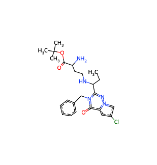 CCC(NCCC(N)C(=O)OC(C)(C)C)c1nn2cc(Cl)cc2c(=O)n1Cc1ccccc1